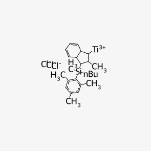 CCCC[Si](C)(c1c(C)cc(C)cc1C)C1C(C)[CH]([Ti+3])C2C=CC=CC21.[Cl-].[Cl-].[Cl-]